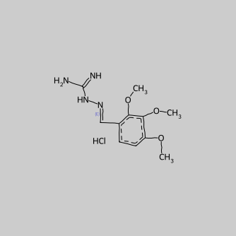 COc1ccc(/C=N/NC(=N)N)c(OC)c1OC.Cl